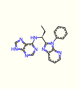 CC[C@H](Nc1ncnc2[nH]cnc12)c1nc2cccnc2n1-c1ccccc1